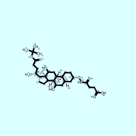 C[C@H](CCC(=O)OC(C)(C)C)[C@H]1CCC2[C@@H]3C(O)C[C@@H]4C[C@@H](ONC(=O)CCC(=O)O)CC[C@]4(C)[C@H]3CC(O)[C@@]21C